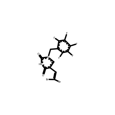 O=c1[nH]c(=O)n(Cc2c(F)c(F)c(F)c(F)c2F)cc1C=C(Br)Br